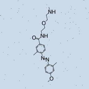 CNCCOCCNC(=O)c1ccc(N=Nc2ccc(OC)cc2C)c(C)c1